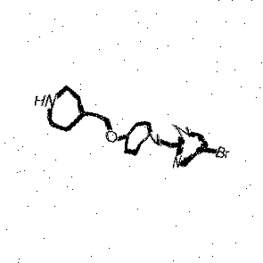 Brc1cnc(N2CCC(OCC3CCNCC3)CC2)nc1